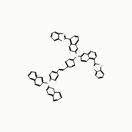 C1=CC2=CC=C(N(c3ccc(/C=C/c4ccc(N(c5ccc6c(-c7nc8ccccc8[nH]7)cccc6c5)c5ccc6c(-c7nc8ccccc8[nH]7)cccc6c5)cc4)cc3)c3ccc4ccccc4c3)CC2C=C1